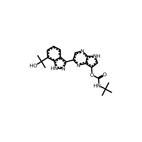 CC(C)(C)NC(=O)Oc1c[nH]c2ncc(-c3n[nH]c4c(C(C)(C)O)cccc34)nc12